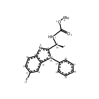 C[C@H](NC(=O)OC(C)(C)C)c1nc2ccc(F)cc2n1-c1ccccc1